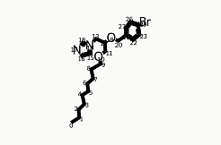 CCCCCCCCCCOCC(Cn1ccnc1)OCc1ccc(Br)cc1